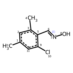 Cc1cc(C)c(/C=N/O)c(Cl)c1